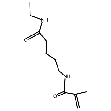 C=C(C)C(=O)NCCCCC(=O)NCC